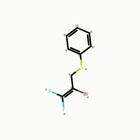 FC(F)=C(Br)CSc1ccccc1